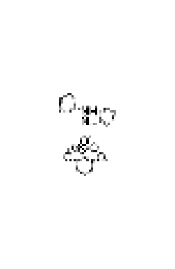 COc1cccc(OC)c1S(=O)(=O)OCC(=NNc1ccccc1)c1ccccc1